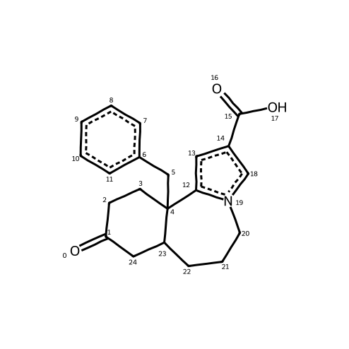 O=C1CCC2(Cc3ccccc3)c3cc(C(=O)O)cn3CCCC2C1